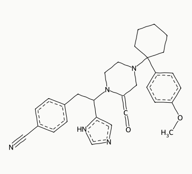 COc1ccc(C2(N3CCN(C(Cc4ccc(C#N)cc4)c4cnc[nH]4)C(=C=O)C3)CCCCC2)cc1